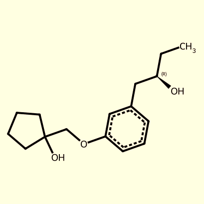 CC[C@@H](O)Cc1cccc(OCC2(O)CCCC2)c1